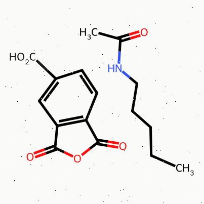 CCCCCNC(C)=O.O=C(O)c1ccc2c(c1)C(=O)OC2=O